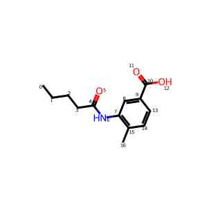 CCCCC(=O)Nc1cc(C(=O)O)ccc1C